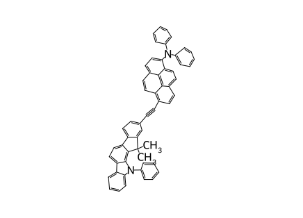 CC1(C)c2cc(C#Cc3ccc4ccc5c(N(c6ccccc6)c6ccccc6)ccc6ccc3c4c65)ccc2-c2ccc3c4ccccc4n(-c4ccccc4)c3c21